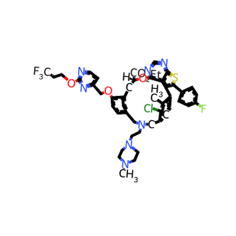 CCOC(=O)[C@H]1Cc2cc(ccc2OCc2ccnc(OCCC(F)(F)F)n2)CN(CCN2CCN(C)CC2)Cc2ccc(c(C)c2Cl)-c2c(-c3ccc(F)cc3)sc3ncnc(c23)O1